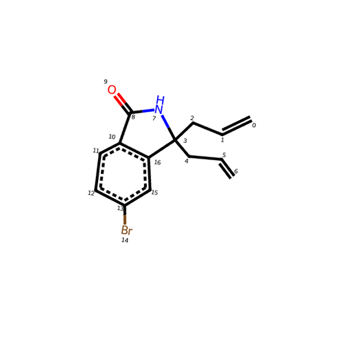 C=CCC1(CC=C)NC(=O)c2ccc(Br)cc21